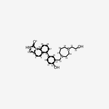 O=c1[nH]nc2ccc3c(-c4ccc(O)c(CN5CCCN(CCO)CC5)c4)cccc3n12